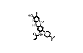 C=CC(=O)Nc1cc(Nc2ncc(F)c(O)n2)c(OC)cc1N1CCC(N(C)C)CC1